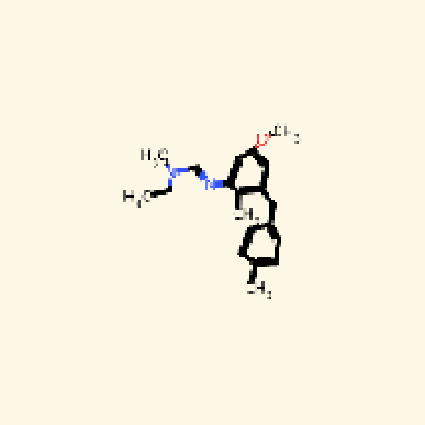 CCN(C)C=Nc1cc(OC)cc(Cc2ccc(C)cc2)c1C